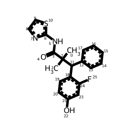 CC(C)(C(=O)Nc1nccs1)C(c1ccccc1)c1ccc(O)cc1F